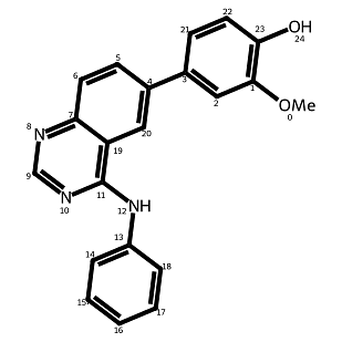 COc1cc(-c2ccc3ncnc(Nc4c[c]ccc4)c3c2)ccc1O